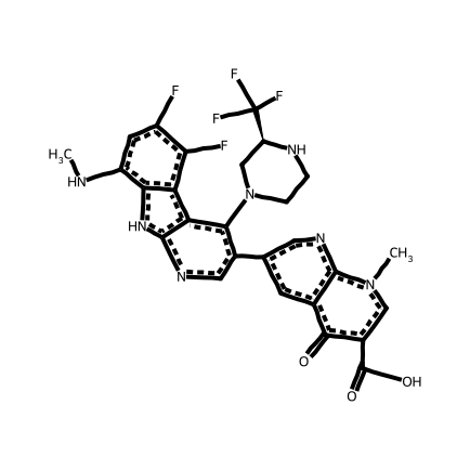 CNc1cc(F)c(F)c2c1[nH]c1ncc(-c3cnc4c(c3)c(=O)c(C(=O)O)cn4C)c(N3CCN[C@H](C(F)(F)F)C3)c12